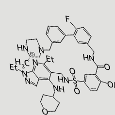 CCc1nc2c(cnn2CC)c(NC2CCOCC2)c1CNS(=O)(=O)c1ccc(OC)c(C(=O)NCc2ccc(F)c(-c3cccc(CN4CCN[C@@H](C)C4)c3)c2)c1